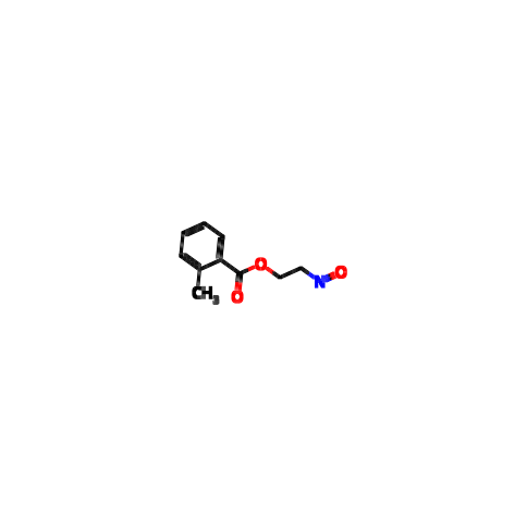 Cc1ccccc1C(=O)OCCN=O